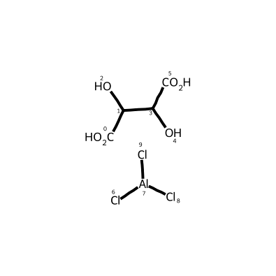 O=C(O)C(O)C(O)C(=O)O.[Cl][Al]([Cl])[Cl]